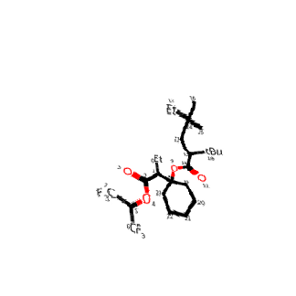 CCC(C(=O)OC(C(F)(F)F)C(F)(F)F)C1(OC(=O)C(CC(C)(C)CC)C(C)(C)C)CCCCC1